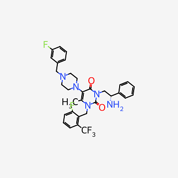 Cc1c(N2CCN(Cc3cccc(F)c3)CC2)c(=O)n(C[C@@H](N)c2ccccc2)c(=O)n1Cc1c(F)cccc1C(F)(F)F